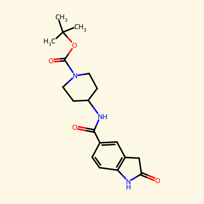 CC(C)(C)OC(=O)N1CCC(NC(=O)c2ccc3c(c2)CC(=O)N3)CC1